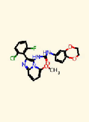 COc1cccc2nc(-c3c(F)cccc3Cl)c(NC(=O)Nc3ccc4c(c3)OCCO4)n12